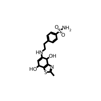 Cc1nc2c(s1)C(O)C=C(NCCc1ccc(S(N)(=O)=O)cc1)C2O